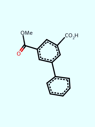 COC(=O)c1cc(C(=O)O)cc(-c2ccccc2)c1